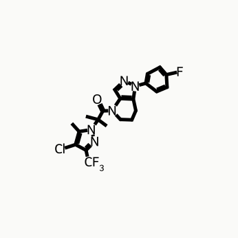 Cc1c(Cl)c(C(F)(F)F)nn1C(C)(C)C(=O)N1CCCc2c1cnn2-c1ccc(F)cc1